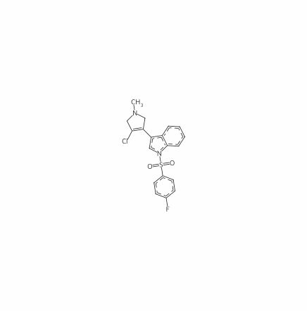 CN1CC(Cl)=C(c2cn(S(=O)(=O)c3ccc(F)cc3)c3ccccc23)C1